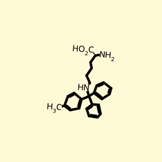 Cc1ccc(C(NCCCC[C@@H](N)C(=O)O)(c2ccccc2)c2ccccc2)cc1